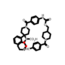 O=Cc1ccc(C(=O)N2CCC(COC(=O)Nc3ccc(C(=O)N4CCC(c5ccccc5)(N(C(=O)O)C5CN6CCC5CC6)CC4)cc3)CC2)cc1